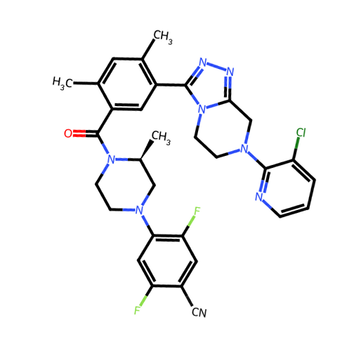 Cc1cc(C)c(-c2nnc3n2CCN(c2ncccc2Cl)C3)cc1C(=O)N1CCN(c2cc(F)c(C#N)cc2F)C[C@@H]1C